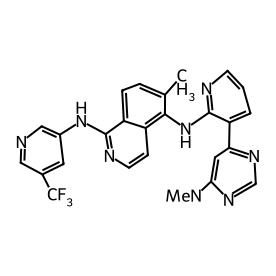 CNc1cc(-c2cccnc2Nc2c(C)ccc3c(Nc4cncc(C(F)(F)F)c4)nccc23)ncn1